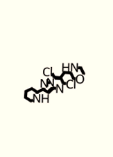 Clc1nc2cc(C3CCCCN3)nn2c(Cl)c1CC1COCCN1